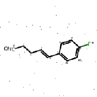 O=CCCC=Cc1ccc(F)cc1